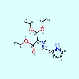 CCOC(=O)C(/N=C/c1ccc[nH]1)C(OCC)OCC